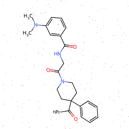 CCCC(=O)C1(c2ccccc2)CCN(C(=O)CNC(=O)c2cccc(N(C)C)c2)CC1